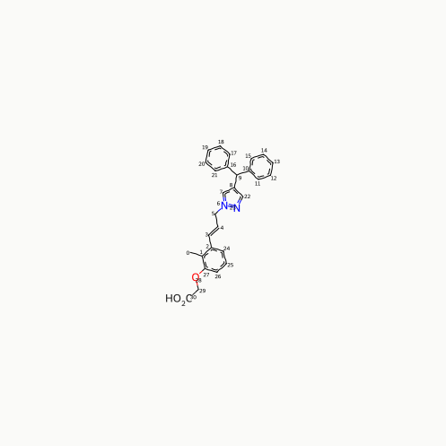 Cc1c(C=CCn2cc(C(c3ccccc3)c3ccccc3)cn2)cccc1OCC(=O)O